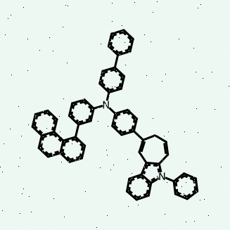 C1=Cc2c(c3ccccc3n2-c2ccccc2)C=C(c2ccc(N(c3ccc(-c4ccccc4)cc3)c3cccc(-c4cccc5ccc6ccccc6c45)c3)cc2)C1